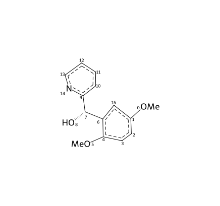 COc1ccc(OC)c([C@H](O)c2ccccn2)c1